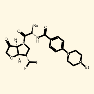 CC[C@H](C)[C@H](NC(=O)c1ccc(N2CCN(CC)CC2)cc1)C(=O)N1C[C@H](C(F)F)[C@H]2OCC(=O)[C@H]21